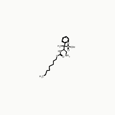 CCCCCCCCOC(=O)NC(CN)C(N)(c1ccccc1)S(=O)(=O)O